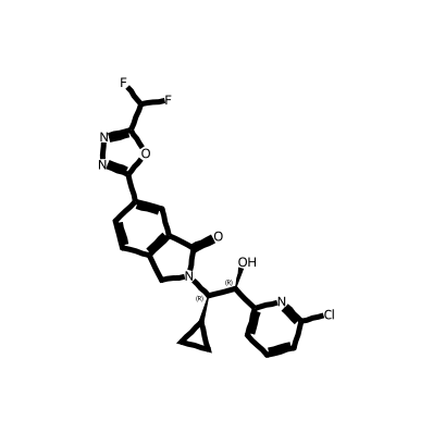 O=C1c2cc(-c3nnc(C(F)F)o3)ccc2CN1[C@H](C1CC1)[C@@H](O)c1cccc(Cl)n1